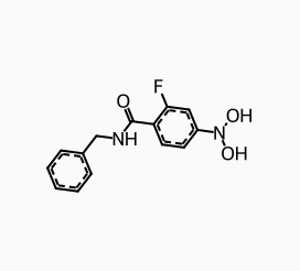 O=C(NCc1ccccc1)c1ccc(N(O)O)cc1F